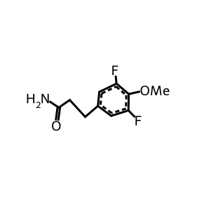 COc1c(F)cc(CCC(N)=O)cc1F